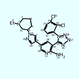 CCN1CCCC(n2cc(-c3cnc(N)c(-c4nnnn4-c4cccc(Cl)c4Cl)c3)cn2)C1